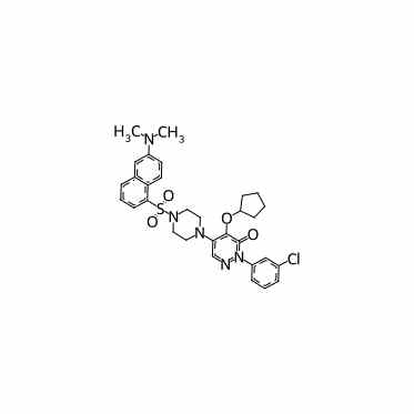 CN(C)c1ccc2c(S(=O)(=O)N3CCN(c4cnn(-c5cccc(Cl)c5)c(=O)c4OC4CCCC4)CC3)cccc2c1